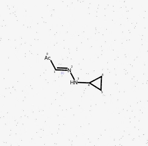 CC(=O)/C=N/NC1CC1